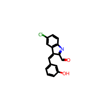 O=CC1=Nc2ccc(Cl)cc2C1=Cc1cccc(O)c1